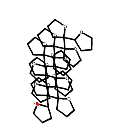 OC1(C2(C3(C4(C5(C6(C7(C8(C9(C%10(C%11(C%12(C%13(C%14(C%15CCCO%15)CCCO%14)CCCO%13)CCCO%12)CCCO%11)CCCO%10)CCCO9)CCCO8)CCCO7)CCCO6)CCCO5)CCCO4)CCCO3)CCCO2)CCCO1